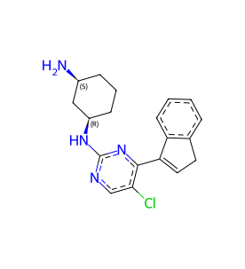 N[C@H]1CCC[C@@H](Nc2ncc(Cl)c(C3=CCc4ccccc43)n2)C1